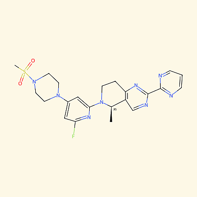 C[C@@H]1c2cnc(-c3ncccn3)nc2CCN1c1cc(N2CCN(S(C)(=O)=O)CC2)cc(F)n1